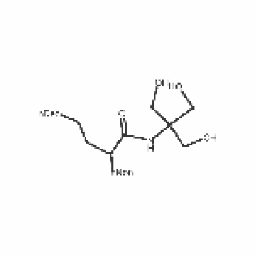 CCCCCCCCCCCCC(CCCCCCCCC)C(=O)NC(CO)(CO)CO